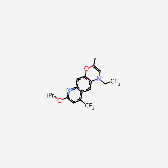 CC1=CN(CC(F)(F)F)c2cc3c(C(F)(F)F)cc(OC(C)C)nc3cc2O1